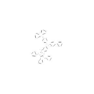 c1ccc(-c2ccc(N(c3ccc(-n4c5ccccc5c5ccccc54)cc3)c3ccc4c(c3)nc3n(-c5ccccc5)c5c6ccccc6n(-c6ccccc6)c5n43)cc2)cc1